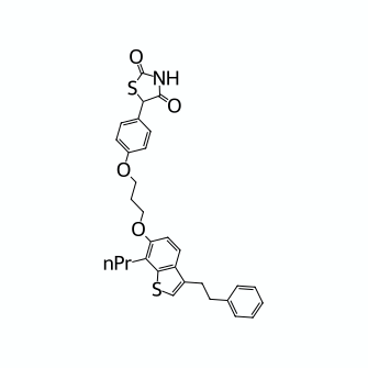 CCCc1c(OCCCOc2ccc(C3SC(=O)NC3=O)cc2)ccc2c(CCc3ccccc3)csc12